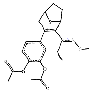 CC/C(=N\OC)C1=C(c2ccc(OC(C)=O)c(OC(C)=O)c2)CC2CCC1S2